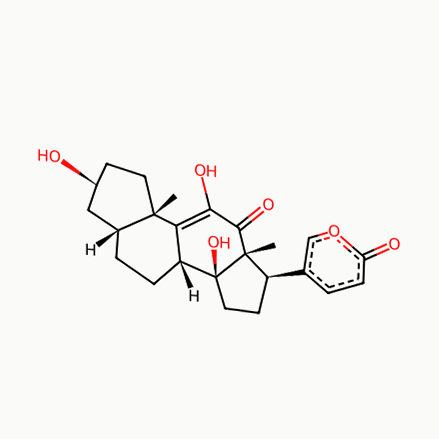 C[C@]12CC[C@H](O)C[C@H]1CC[C@@H]1C2=C(O)C(=O)[C@]2(C)[C@@H](c3ccc(=O)oc3)CC[C@]12O